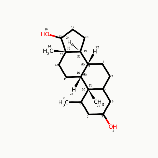 CC1CC(O)CC2CC[C@@H]3[C@@H](CC[C@]4(C)C(O)CC[C@@H]34)[C@@]12C